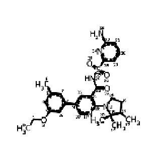 CCOc1cc(C)cc(-c2cnc(N3CCC(C)C3(C)C)c(C(=O)NS(=O)(=O)c3cccc(N)n3)c2)c1